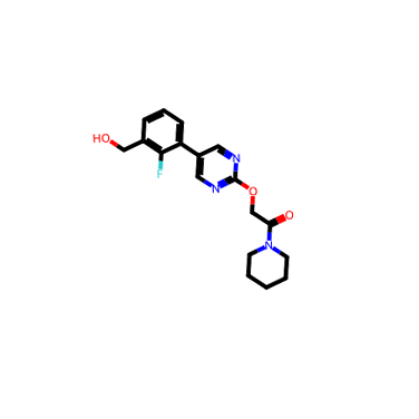 O=C(COc1ncc(-c2cccc(CO)c2F)cn1)N1CCCCC1